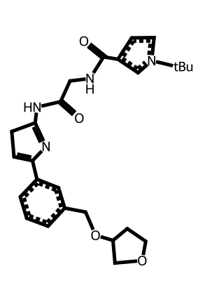 CC(C)(C)n1ccc(C(=O)NCC(=O)NC2=NC(c3cccc(COC4CCOC4)c3)=CC2)c1